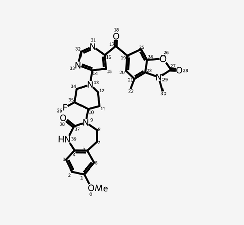 COc1ccc2c(c1)CCN(C1CCN(c3cc(C(=O)c4cc(C)c5c(c4)oc(=O)n5C)ncn3)CC1F)C(=O)N2